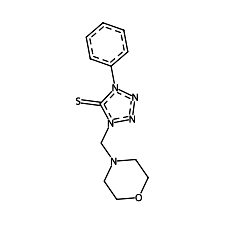 S=c1n(CN2CCOCC2)nnn1-c1ccccc1